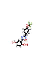 Oc1ccc(Br)cc1-c1nc(-c2ccc(OC(F)(F)F)cc2)no1